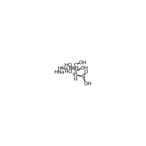 O=C(O)O.O=S(=O)(O)O.O=[Si](O)O.[NaH].[NaH].[NaH]